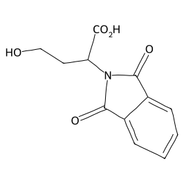 O=C(O)C(CCO)N1C(=O)c2ccccc2C1=O